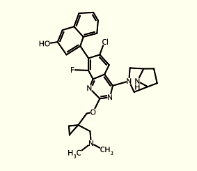 CN(C)CC1(COc2nc(N3CC4CCC(C3)N4)c3cc(Cl)c(-c4cc(O)cc5ccccc45)c(F)c3n2)CC1